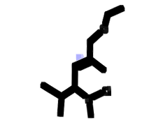 CCOC/C(C)=C/C(C(C)C)N(C)Cl